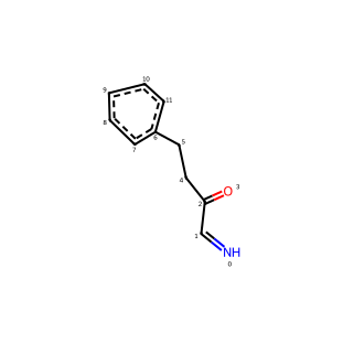 N=CC(=O)CCc1ccccc1